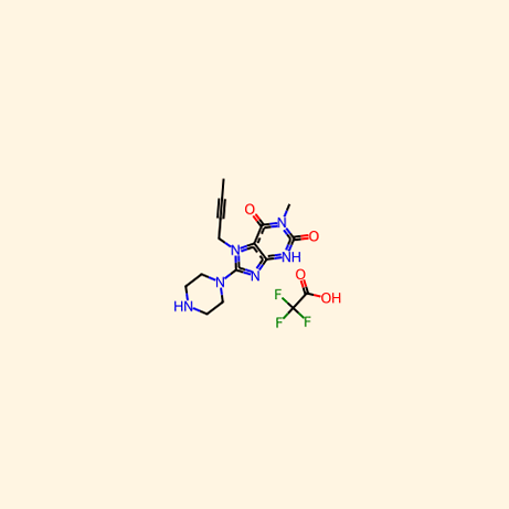 CC#CCn1c(N2CCNCC2)nc2[nH]c(=O)n(C)c(=O)c21.O=C(O)C(F)(F)F